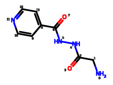 NCC(=O)NNC(=O)c1ccncc1